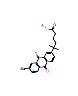 CC(C)OC(=O)CCCC(C)(C)c1ccc2c(c1)C(=O)c1cc(C(C)(C)C)ccc1C2=O